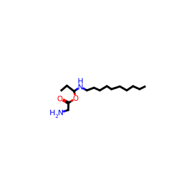 CCCCCCCCCCNC(CC)OC(=O)CN